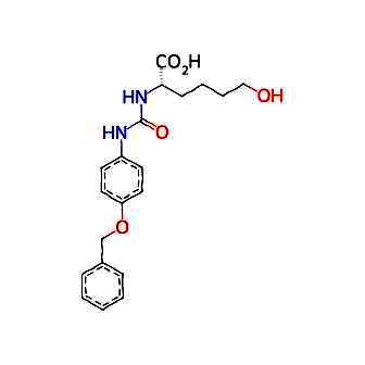 O=C(Nc1ccc(OCc2ccccc2)cc1)N[C@@H](CCCCO)C(=O)O